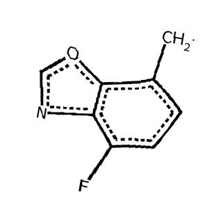 [CH2]c1ccc(F)c2ncoc12